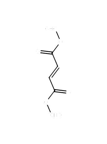 O=COC(=O)/C=C/C(=O)OC=O